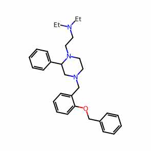 CCN(CC)CCN1CCN(Cc2ccccc2OCc2ccccc2)CC1c1ccccc1